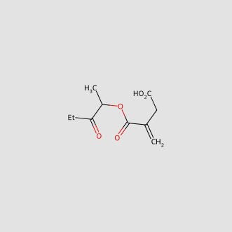 C=C(CC(=O)O)C(=O)OC(C)C(=O)CC